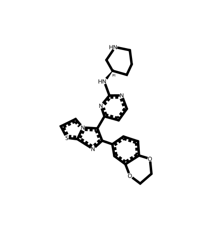 c1cc(-c2c(-c3ccc4c(c3)OCCO4)nc3sccn23)nc(N[C@@H]2CCCNC2)n1